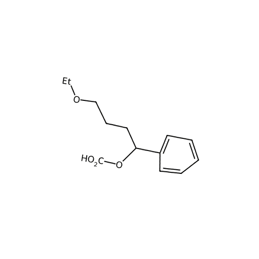 CCOCCCC(OC(=O)O)c1ccccc1